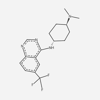 CN(C)[C@H]1CC[C@H](Nc2ncnc3ccc(C(F)(F)F)cc23)CC1